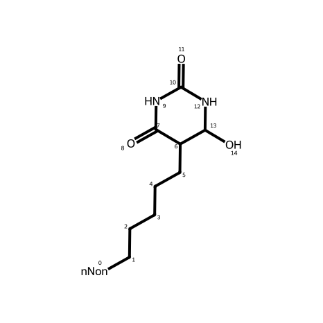 CCCCCCCCCCCCCCC1C(=O)NC(=O)NC1O